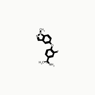 C[C@H](N)c1ccc(Oc2ccc3c(cnn3C)c2)c(F)c1